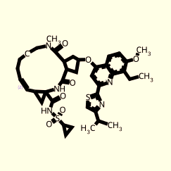 CCc1c(OC)ccc2c(OC3CC4C(=O)NC5(C(=O)NS(=O)(=O)C6CC6)CC5/C=C\CCCCN(C)C(=O)C4C3)cc(-c3nc(C(C)C)cs3)nc12